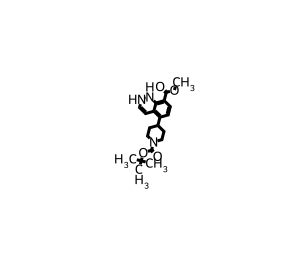 COC(=O)c1ccc(C2CCN(C(=O)OC(C)(C)C)CC2)c2c1NNC=C2